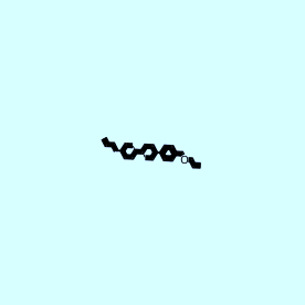 C=CCC[C@H]1CC[C@H]([C@H]2CC[C@H](c3ccc(COCC=C)cc3)CC2)CC1